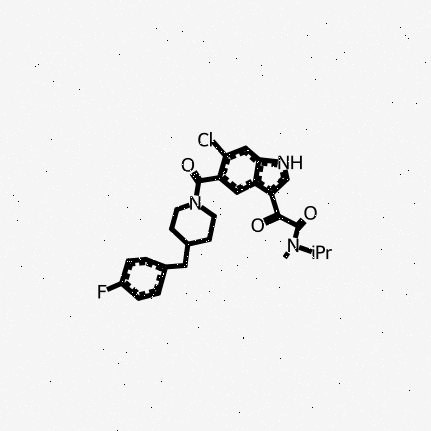 CC(C)N(C)C(=O)C(=O)c1c[nH]c2cc(Cl)c(C(=O)N3CCC(Cc4ccc(F)cc4)CC3)cc12